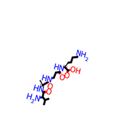 CC(C)C(N)C(=O)N[C@@H](C)C(=O)NCCC(=O)N[C@@H](CCCCN)C(=O)O